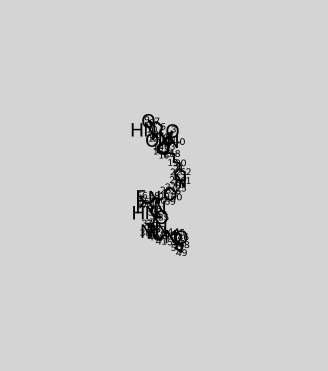 Cn1c(=O)n(C2CCC(=O)NC2=O)c2cccc(CCCC3CCN(C[C@H]4CC[C@H](C5N=C(NC(=O)c6cnn7ccc(N8CCOC9(CCC9)C8)nc67)C(C(F)F)=N5)CC4)CC3)c21